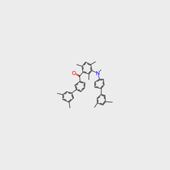 Cc1cc(C)cc(-c2ccc(N(C)c3c(C)cc(C)c(C(=O)c4cccc(-c5cc(C)cc(C)c5)c4)c3C)cc2)c1